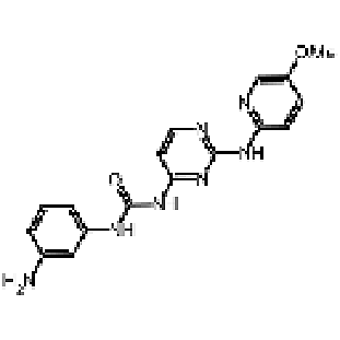 COc1ccc(Nc2nccc(NC(=O)Nc3cccc(N)c3)n2)nc1